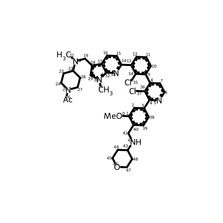 COc1cc(-c2nccc(-c3cccc(-c4ccc5c(CN(C)C6CCN(C(C)=O)CC6)cn(C)c5n4)c3Cl)c2Cl)ccc1CNC1CCOCC1